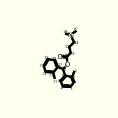 Cc1ccccc1C(OC(=O)CCCN(C)C)c1ccccc1C